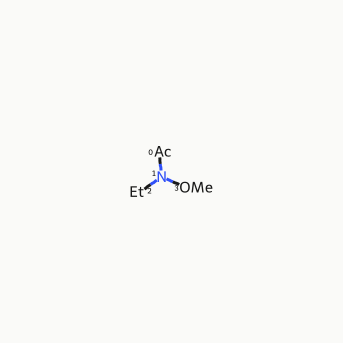 [CH2]C(=O)N(CC)OC